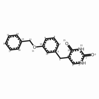 O=c1[nH]cc(Cc2cccc(OCc3ccccc3)c2)c(=O)[nH]1